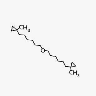 CC1(CCCCCCOCCCCCCC2(C)CC2)CC1